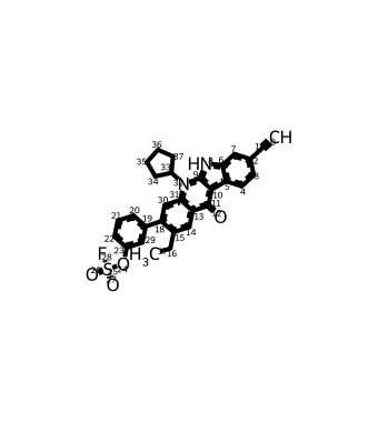 C#Cc1ccc2c(c1)[nH]c1c2c(=O)c2cc(CC)c(-c3cccc(OS(=O)(=O)F)c3)cc2n1C1CCCC1